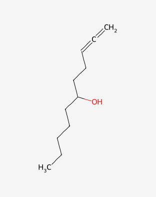 C=C=CCCC(O)CCCCC